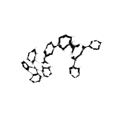 c1ccc(-c2cc(-c3ccccc3)nc(-c3cccc(-c4cccc(-c5nc6cccc7c6n5-c5ccccc5C75c6ccccc6-c6ccccc65)c4)c3)n2)cc1